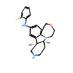 Fc1ccccc1Nc1cc2c3c(c1)[C@@H]1CNCC[C@@H]1N3CCOC2